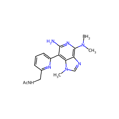 BN(C)c1nc(N)c(-c2cccc(CNC(C)=O)n2)c2c1ncn2C